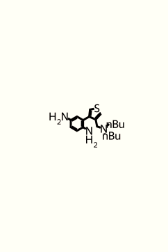 CCCCN(CCCC)Cc1cscc1-c1cc(N)ccc1N